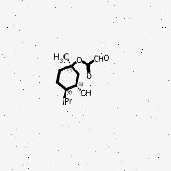 CC(C)[C@H]1CC[C@@](C)(OC(=O)C=O)C[C@@H]1O